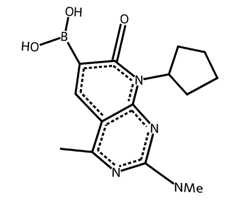 CNc1nc(C)c2cc(B(O)O)c(=O)n(C3CCCC3)c2n1